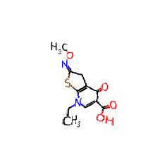 CCn1cc(C(=O)O)c(=O)c2c1SC(=NOC)C2